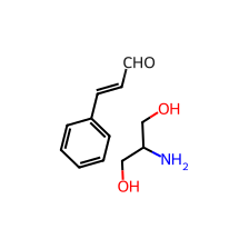 NC(CO)CO.O=C/C=C/c1ccccc1